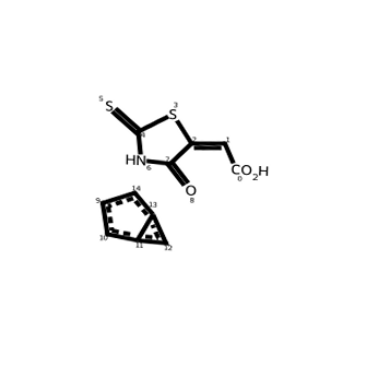 O=C(O)C=C1SC(=S)NC1=O.c1cc2cc-2c1